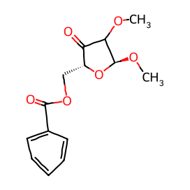 COC1C(=O)[C@@H](COC(=O)c2ccccc2)O[C@@H]1OC